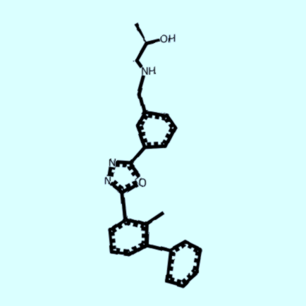 Cc1c(-c2ccccc2)cccc1-c1nnc(-c2cccc(CN[CH][C@@H](C)O)c2)o1